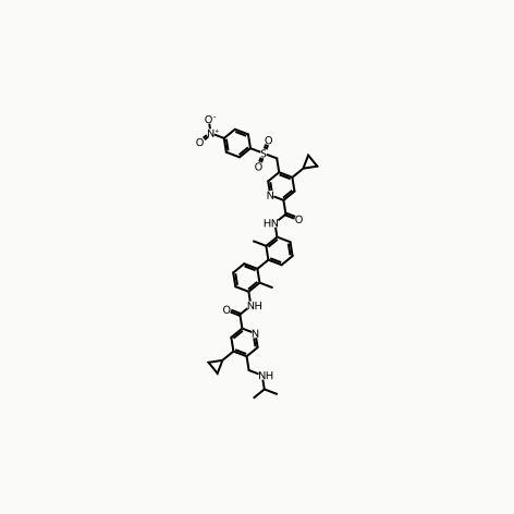 Cc1c(NC(=O)c2cc(C3CC3)c(CNC(C)C)cn2)cccc1-c1cccc(NC(=O)c2cc(C3CC3)c(CS(=O)(=O)c3ccc([N+](=O)[O-])cc3)cn2)c1C